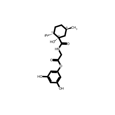 CC(C)[C@@H]1CC[C@@H](C)C[C@@]1(O)C(=O)NCC(=O)Oc1cc(O)cc(O)c1